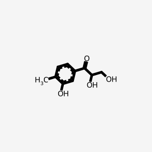 Cc1ccc(C(=O)C(O)CO)cc1O